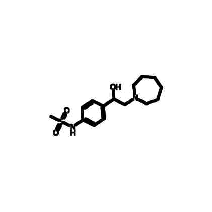 CS(=O)(=O)Nc1ccc(C(O)CN2CCCCCC2)cc1